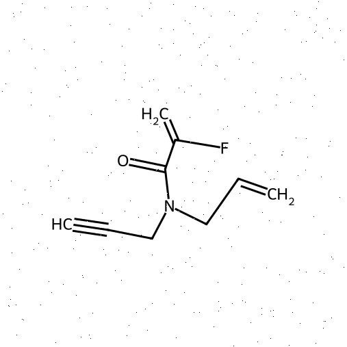 C#CCN(CC=C)C(=O)C(=C)F